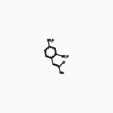 CC(C)(C)/[N+]([O-])=C/c1ccc(S(=O)(=O)O)cc1S(=O)(=O)O